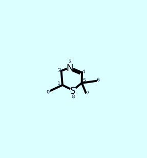 CC1CN=CC(C)(C)S1